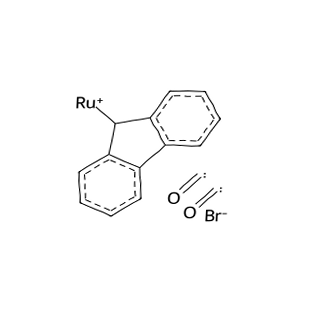 [Br-].[C]=O.[C]=O.[Ru+][CH]1c2ccccc2-c2ccccc21